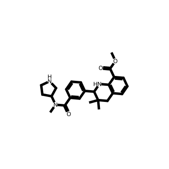 COC(=O)c1cccc2c1NC(c1cccc(C(=O)N(C)C3CCNC3)c1)C(C)(C)C2